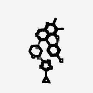 Cc1nc2cnc([C@H]3CCO[C@@H](c4noc(C5CC5)n4)C3)c(-c3ccc(Cl)cc3F)n2c(=O)c1C